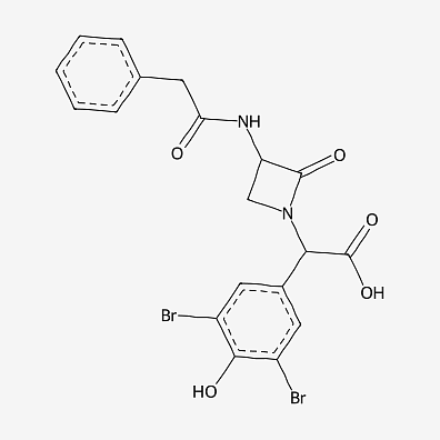 O=C(Cc1ccccc1)NC1CN(C(C(=O)O)c2cc(Br)c(O)c(Br)c2)C1=O